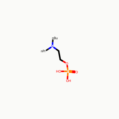 CCCCN(CCC)CCOP(=O)(O)O